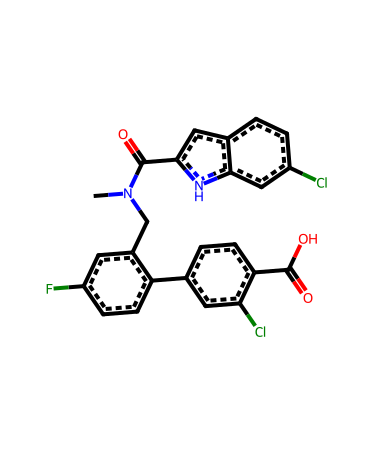 CN(Cc1cc(F)ccc1-c1ccc(C(=O)O)c(Cl)c1)C(=O)c1cc2ccc(Cl)cc2[nH]1